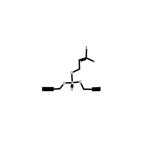 C#CCOP(=O)(OCC#C)OCC=C(F)F